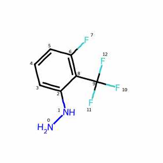 NNc1cccc(F)c1C(F)(F)F